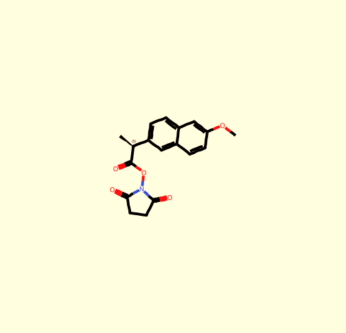 COc1ccc2cc([C@H](C)C(=O)ON3C(=O)CCC3=O)ccc2c1